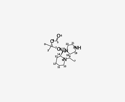 CC(C)(C)OC=O.CCN1CCCC[C@H]1C(=O)N1CCNCC1